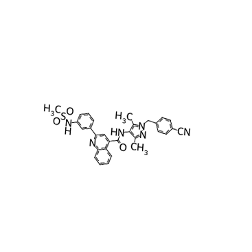 Cc1nn(Cc2ccc(C#N)cc2)c(C)c1NC(=O)c1cc(-c2cccc(NS(C)(=O)=O)c2)nc2ccccc12